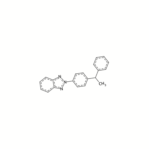 CC(c1ccccc1)c1ccc(-n2nc3ccccc3n2)cc1